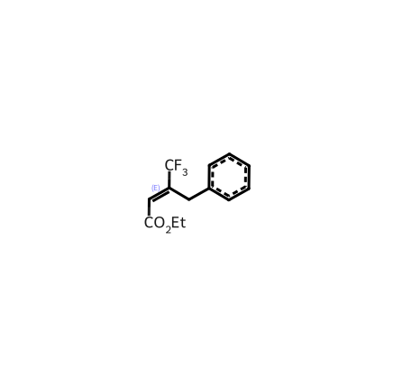 CCOC(=O)/C=C(\Cc1ccccc1)C(F)(F)F